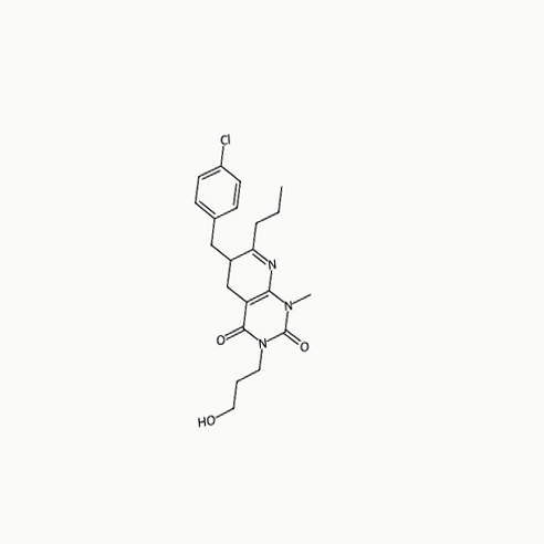 CCCC1=Nc2c(c(=O)n(CCCO)c(=O)n2C)CC1Cc1ccc(Cl)cc1